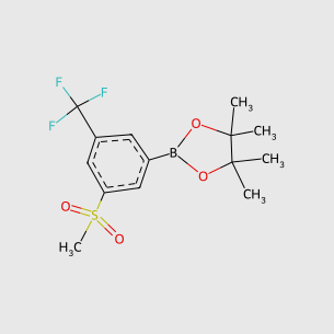 CC1(C)OB(c2cc(C(F)(F)F)cc(S(C)(=O)=O)c2)OC1(C)C